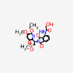 CCOc1nc(C(CS(C)(=O)=O)N2C(=O)c3cccc(NC(=O)CO)c3C2=O)ccc1OC